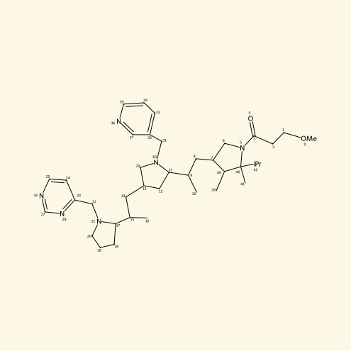 COCCC(=O)N1CC(CC(C)C2CC(CC(C)C3CCCN3Cc3ccncn3)CN2Cc2cccnc2)C(C)C1(C)C(C)C